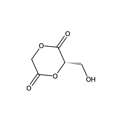 O=C1COC(=O)[C@H](CO)O1